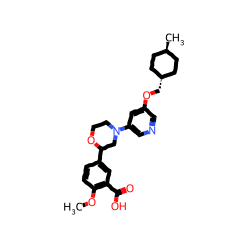 COc1ccc(C2CN(c3cncc(OC[C@H]4CC[C@H](C)CC4)c3)CCO2)cc1C(=O)O